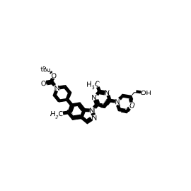 Cc1nc(N2CCO[C@@H](CO)C2)cc(-n2ncc3cc(C)c(C4CCN(C(=O)OC(C)(C)C)CC4)cc32)n1